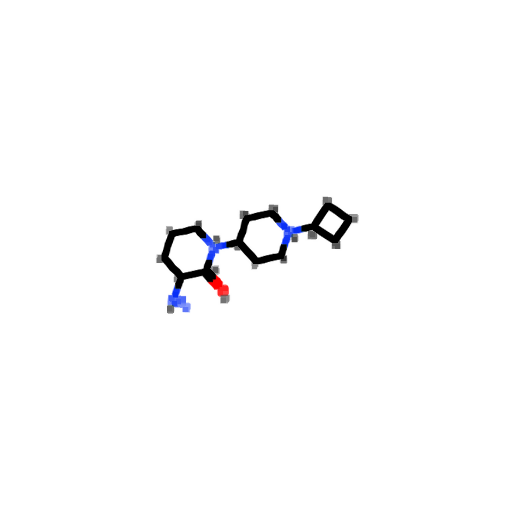 NC1CCCN(C2CCN(C3CCC3)CC2)C1=O